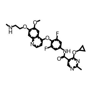 CNCCOc1cc2nccc(Oc3c(F)cc(NC(=O)c4cnc(C)nc4OC4CC4)cc3F)c2cc1OC